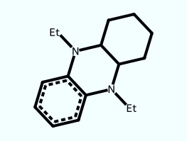 CCN1c2ccccc2N(CC)C2CCCCC21